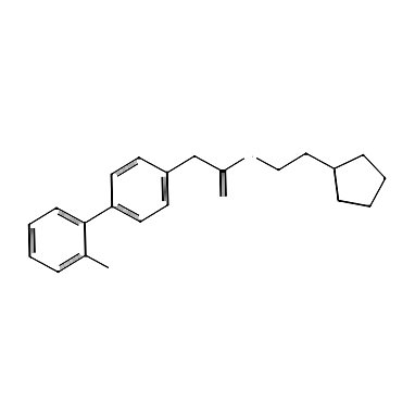 O=C(Cc1ccc(-c2ccccc2F)cc1)NCCC1CCCC1